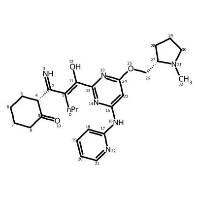 CCC/C(C(=N)[C@H]1CCCCC1=O)=C(/O)c1nc(Nc2ccccn2)cc(OC[C@@H]2CCCN2C)n1